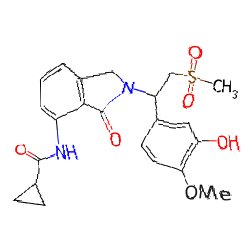 COc1ccc(C(CS(C)(=O)=O)N2Cc3cccc(NC(=O)C4CC4)c3C2=O)cc1O